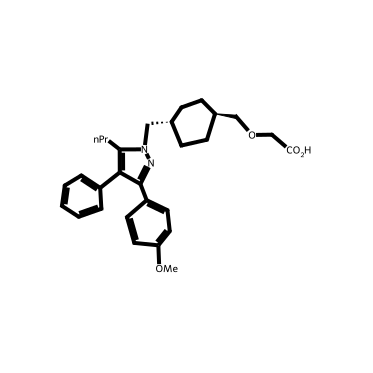 CCCc1c(-c2ccccc2)c(-c2ccc(OC)cc2)nn1C[C@H]1CC[C@H](COCC(=O)O)CC1